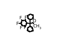 CC(=O)C(c1ccccc1)(c1ccccc1)c1c(F)c(F)c(F)c(F)c1F